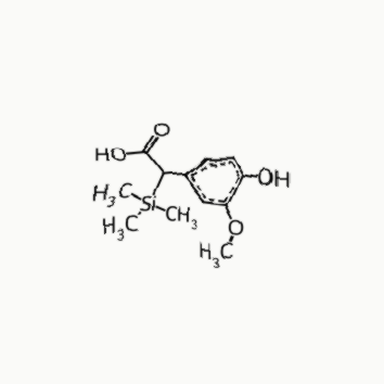 COc1cc(C(C(=O)O)[Si](C)(C)C)ccc1O